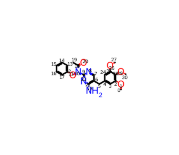 COc1cc(Cc2cnc(N(Oc3ccccc3)C(C)=O)nc2N)cc(OC)c1OC